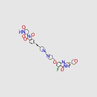 O=C1CCC(N2C(=O)c3ccc(C#CC4CCN(CCN5CCC(COc6cc(F)c7c(=O)[nH]c(CSC8CCOCC8)nc7c6)CC5)CC4)cc3C2=O)C(=O)N1